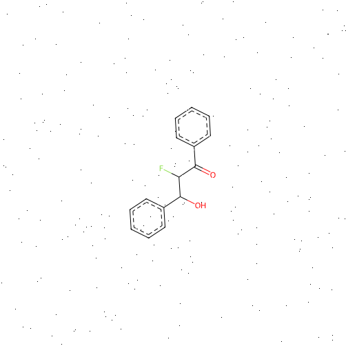 O=C(c1ccccc1)C(F)C(O)c1ccccc1